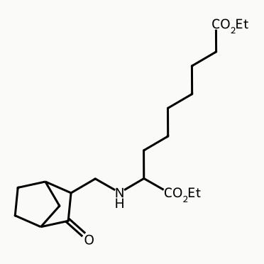 CCOC(=O)CCCCCCC(NCC1C(=O)C2CCC1C2)C(=O)OCC